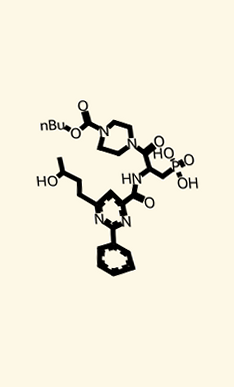 CCCCOC(=O)N1CCN(C(=O)C(CP(=O)(O)O)NC(=O)c2cc(CCC(C)O)nc(-c3ccccc3)n2)CC1